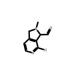 CN1Cc2ccnc(Cl)c2C1C=O